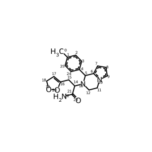 Cc1ccc(C2c3cccn3CCN2C(CC2=CCOO2)C(N)=O)cc1